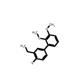 CCc1cc(-c2cccc(OC)c2OC)ccc1[S]